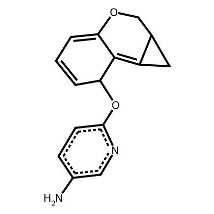 Nc1ccc(OC2C=CC=C3OCC4CC4=C32)nc1